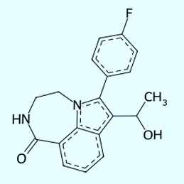 CC(O)c1c(-c2ccc(F)cc2)n2c3c(cccc13)C(=O)NCC2